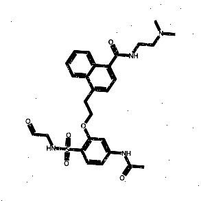 CC(=O)Nc1ccc(S(=O)(=O)NCC=O)c(OCCc2ccc(C(=O)NCCN(C)C)c3ccccc23)c1